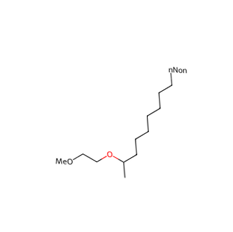 CCCCCCCCCCCCCCCCC(C)OCCOC